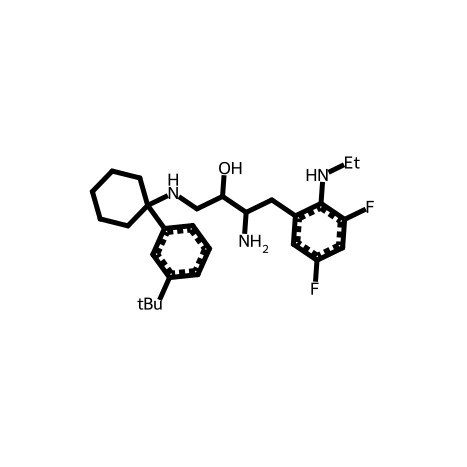 CCNc1c(F)cc(F)cc1CC(N)C(O)CNC1(c2cccc(C(C)(C)C)c2)CCCCC1